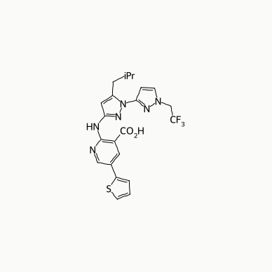 CC(C)Cc1cc(Nc2ncc(-c3cccs3)cc2C(=O)O)nn1-c1ccn(CC(F)(F)F)n1